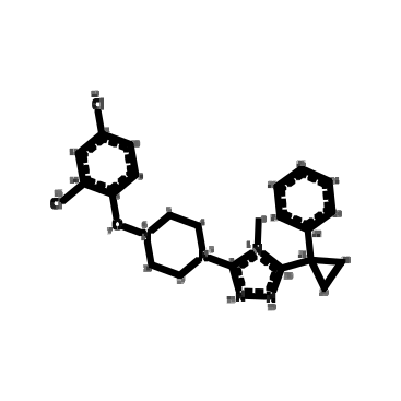 Cn1c(N2CCN(Oc3ccc(Cl)cc3Cl)CC2)nnc1C1(c2ccccc2)CC1